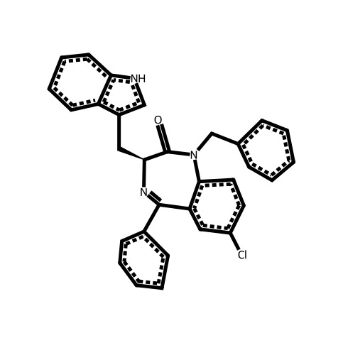 O=C1[C@H](Cc2c[nH]c3ccccc23)N=C(c2ccccc2)c2cc(Cl)ccc2N1Cc1ccccc1